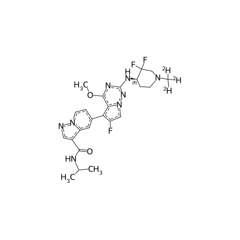 [2H]C([2H])([2H])N1CC[C@@H](Nc2nc(OC)c3c(-c4ccn5ncc(C(=O)NC(C)C)c5c4)c(F)cn3n2)C(F)(F)C1